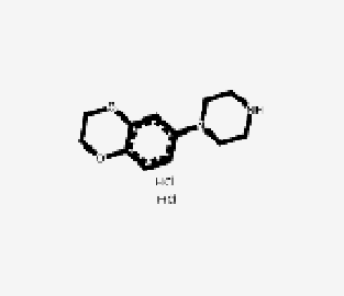 Cl.Cl.c1cc2c(cc1N1CCNCC1)OCCO2